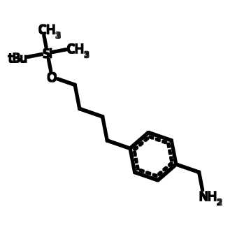 CC(C)(C)[Si](C)(C)OCCCCc1ccc(CN)cc1